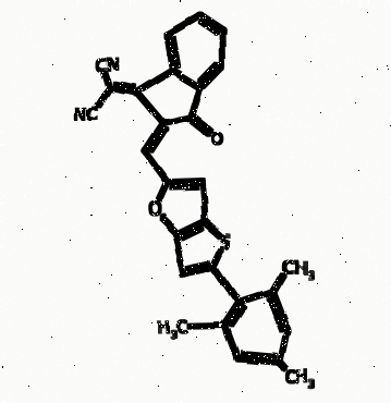 Cc1cc(C)c(-c2cc3oc(/C=C4\C(=O)c5ccccc5C4=C(C#N)C#N)cc3s2)c(C)c1